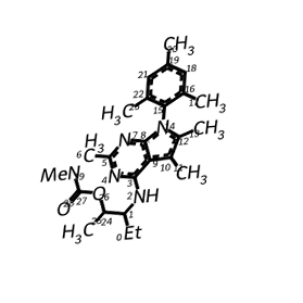 CCC(Nc1nc(C)nc2c1c(C)c(C)n2-c1c(C)cc(C)cc1C)C(C)OC(=O)NC